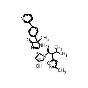 Cc1cc(C(C(=O)N2C[C@H](O)C[C@@H]2C2=NC(=O)C(C)(c3ccc(-c4cccnc4)cc3)N2)C(C)C)on1